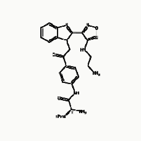 CCCCC[C@H](N)C(=O)Nc1ccc(C(=O)Cn2c(-c3nonc3NCCN)nc3ccccc32)cc1